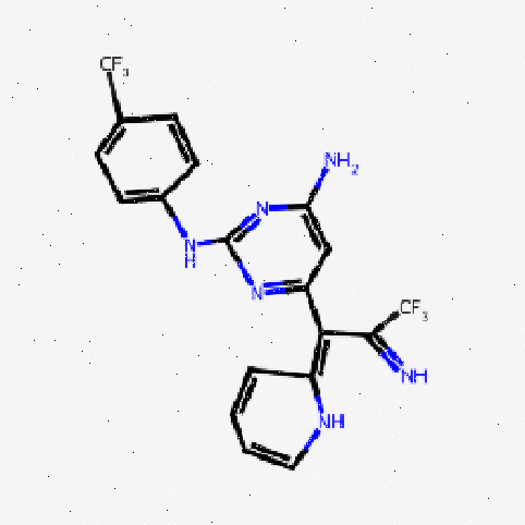 N=C(/C(=C1/C=CC=CN1)c1cc(N)nc(Nc2ccc(C(F)(F)F)cc2)n1)C(F)(F)F